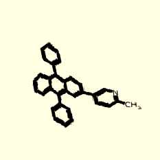 Cc1ccc(-c2ccc3c(-c4ccccc4)c4ccccc4c(-c4ccccc4)c3c2)cn1